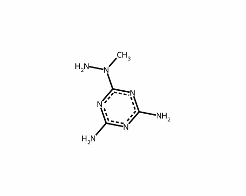 CN(N)c1nc(N)nc(N)n1